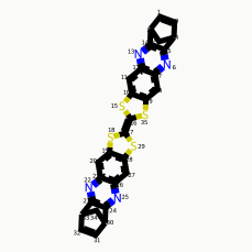 C1=CC2CC1c1nc3cc4c(cc3nc12)SC(=C1Sc2cc3nc5c(nc3cc2S1)C1C=CC5C1)S4